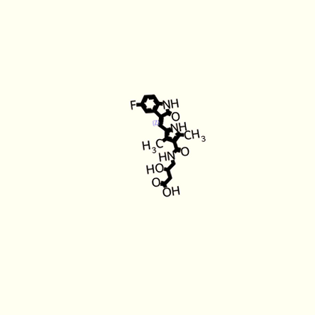 Cc1[nH]c(/C=C2\C(=O)Nc3ccc(F)cc32)c(C)c1C(=O)NCC(O)CC(=O)O